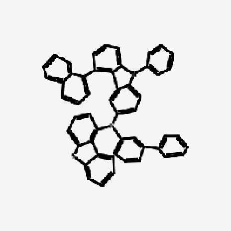 c1ccc(-c2cccc(N(c3ccc4c(c3)c3c(-c5cccc6ccccc56)cccc3n4-c3ccccc3)c3cccc4sc5ccccc5c34)c2)cc1